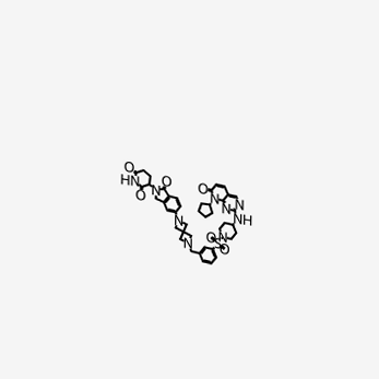 O=C1CCC(N2Cc3cc(N4CC5(CN(Cc6cccc(S(=O)(=O)N7CCC(Nc8ncc9ccc(=O)n(C%10CCCC%10)c9n8)CC7)c6)C5)C4)ccc3C2=O)C(=O)N1